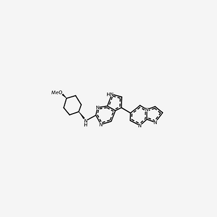 CO[C@H]1CC[C@@H](Nc2ncc3c(-c4cnc5nccn5c4)c[nH]c3n2)CC1